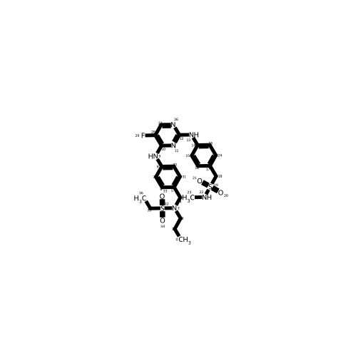 CCCN(Cc1ccc(Nc2nc(Nc3ccc(CS(=O)(=O)NC)cc3)ncc2F)cc1)S(=O)(=O)CC